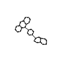 [c]1c2ccccc2c(-c2ccc(-c3ccc4ccccc4c3)cc2)c2ccccc12